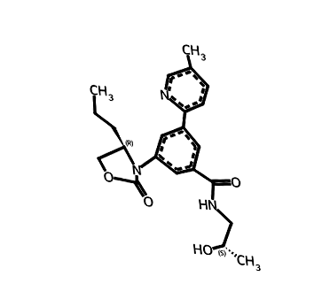 CCC[C@@H]1COC(=O)N1c1cc(C(=O)NC[C@H](C)O)cc(-c2ccc(C)cn2)c1